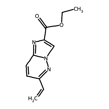 C=Cc1ccc2nc(C(=O)OCC)cn2n1